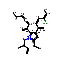 C=CC(C)Cn1c(CC)cc(C(=C)/C=C\C(F)=C/C)c1C(=C)C=C=CCC